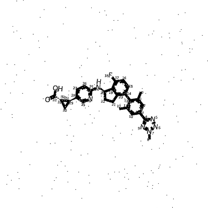 Cc1cc(-c2nnn(C)n2)cc(C)c1-c1ccc(F)c2c1CC[C@H]2Nc1ccc([C@H]2C[C@@H]2C(=O)O)cn1